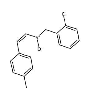 Cc1ccc(/C=C\[S+]([O-])Cc2ccccc2Cl)cc1